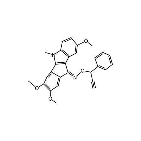 C#CC(O/N=C1/c2cc(OC)c(OC)cc2-c2c1c1cc(OC)ccc1n2C)c1ccccc1